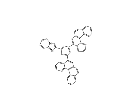 c1ccc2c(c1)ccc1cc(-c3cc(-c4cn5ccccc5n4)cc(-c4cc5ccc6ccccc6c5c5ccccc45)c3)c3ccccc3c12